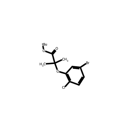 CC(C)(C)OC(=O)C(C)(C)Oc1cc(Br)ccc1Cl